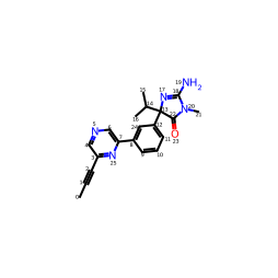 CC#Cc1cncc(-c2cccc(C3(C(C)C)N=C(N)N(C)C3=O)c2)n1